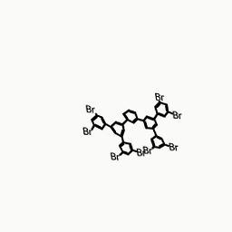 Brc1cc(Br)cc(-c2cc(-c3cc(Br)cc(Br)c3)cc(-c3cccc(-c4cc(-c5cc(Br)cc(Br)c5)cc(-c5cc(Br)cc(Br)c5)c4)c3)c2)c1